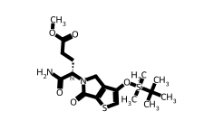 COC(=O)CC[C@@H](C(N)=O)N1Cc2c(O[Si](C)(C)C(C)(C)C)csc2C1=O